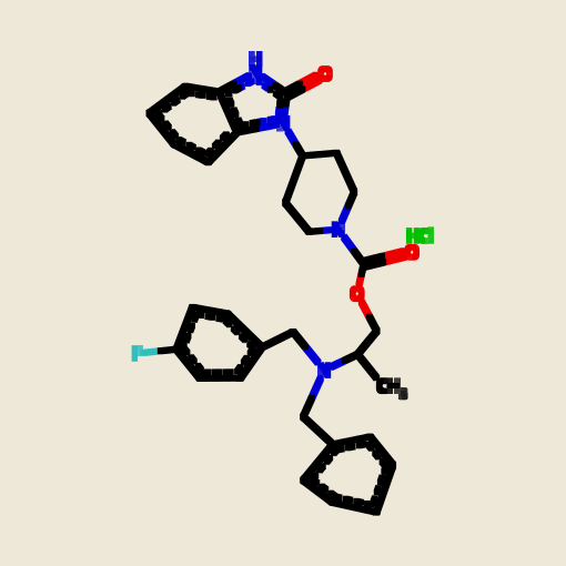 CC(COC(=O)N1CCC(n2c(=O)[nH]c3ccccc32)CC1)N(Cc1ccccc1)Cc1ccc(F)cc1.Cl